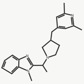 Cc1cc(CC2CCN(C(C)c3nc4ccccc4n3C)C2)cc(C)n1